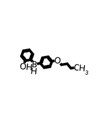 CCCCOc1ccc(Bc2ccccc2O)cc1